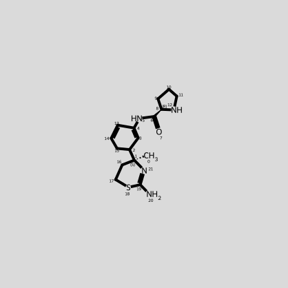 C[C@@]1(C2C=C(NC(=O)[C@H]3CCCN3)C=CC2)CCSC(N)=N1